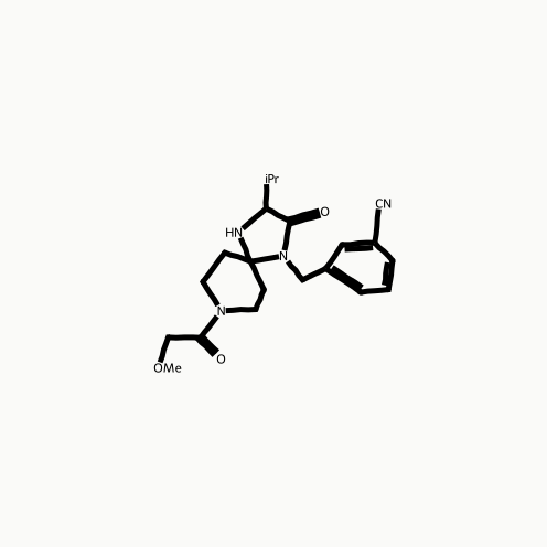 COCC(=O)N1CCC2(CC1)NC(C(C)C)C(=O)N2Cc1cccc(C#N)c1